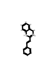 C(=Cc1ccccc1)C1=NCc2ccccc2S1